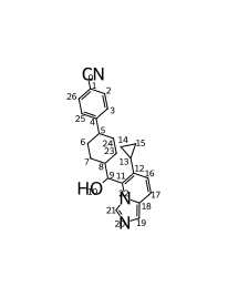 N#Cc1ccc(C2CCC(C(O)c3c(C4CC4)ccc4cncn34)CC2)cc1